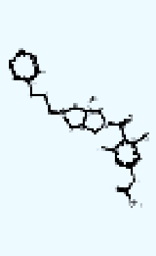 NC(=O)Sc1cc(Cl)c(C(=O)N2CC3CN(CC[CH]c4ccccc4)C[C@H]3C2)c(Cl)c1